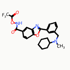 CN(Cc1cccc(-c2nc3cc(C(=O)NOC(=O)C(F)(F)F)ccc3o2)c1)C1CCCCC1